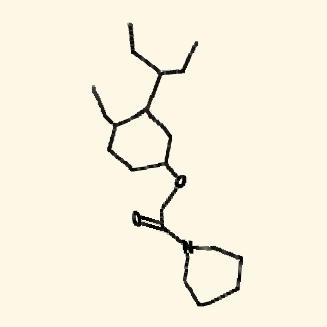 CCC(CC)C1CC(OC(=O)N2CCCCC2)CCC1C